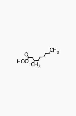 CCCCCCC(C)CC(=O)OO